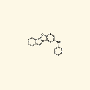 c1ccc(Nc2ccc3oc4c5ccccc5oc4c3c2)cc1